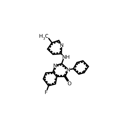 Cc1ccc(Nc2nc3ccc(F)cc3c(=O)n2-c2ccccc2)nc1